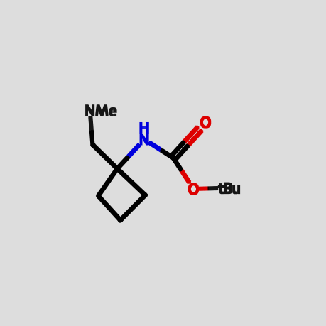 CNCC1(NC(=O)OC(C)(C)C)CCC1